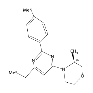 CNc1ccc(-c2nc(CSC)cc(N3CCOC[C@@H]3C)n2)cc1